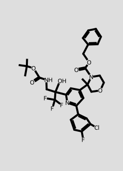 CC(C)(C)OC(=O)NCC(O)(c1cc(C2(C)COCCN2C(=O)OCc2ccccc2)cc(-c2ccc(F)c(Cl)c2)n1)C(F)(F)F